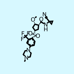 CO[C@H]1C[C@@H](S(=O)(=O)c2ccc(N3CCN(C)CC3)cc2C(F)(F)F)C[C@@H]1C(=O)NC1(C#N)CC1